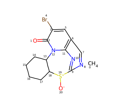 C.O=c1c(Br)cc2cnc3nc2n1C1CCCCC1[S+]3[O-]